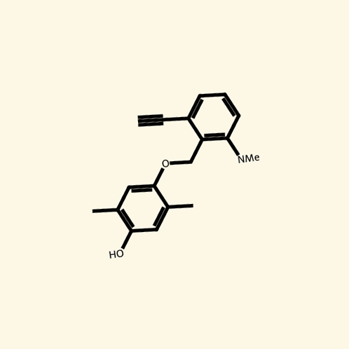 C#Cc1cccc(NC)c1COc1cc(C)c(O)cc1C